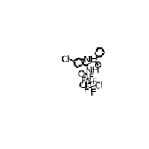 O=C(c1ccccc1)c1[nH]c2cc(Cl)ccc2c1NC(=O)C(F)(F)C(F)(Cl)C(F)(F)Cl